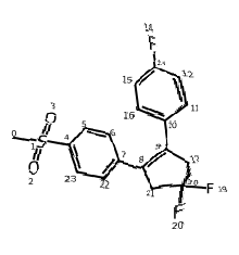 CS(=O)(=O)c1ccc(C2=C(c3ccc(F)cc3)CC(F)(F)C2)cc1